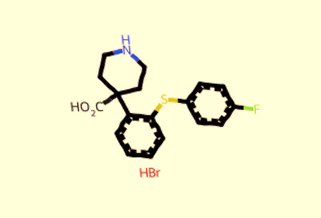 Br.O=C(O)C1(c2ccccc2Sc2ccc(F)cc2)CCNCC1